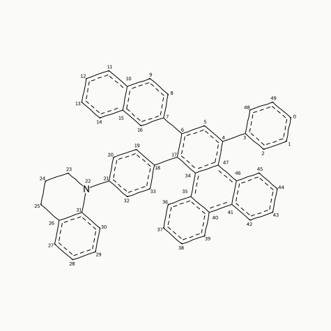 c1ccc(-c2cc(-c3ccc4ccccc4c3)c(-c3ccc(N4CCCc5ccccc54)cc3)c3c4ccccc4c4ccccc4c23)cc1